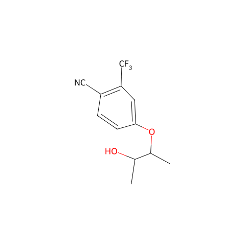 CC(O)C(C)Oc1ccc(C#N)c(C(F)(F)F)c1